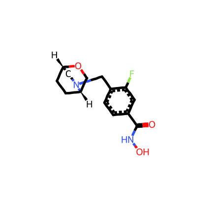 O=C(NO)c1ccc(CN2C[C@@H]3CC[C@H]2CO3)c(F)c1